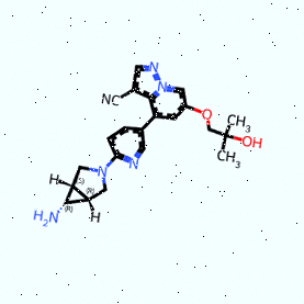 CC(C)(O)COc1cc(-c2ccc(N3C[C@@H]4[C@H](N)[C@@H]4C3)nc2)c2c(C#N)cnn2c1